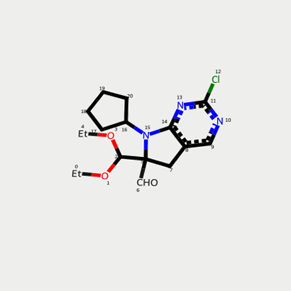 CCOC(OCC)C1(C=O)Cc2cnc(Cl)nc2N1C1CCCC1